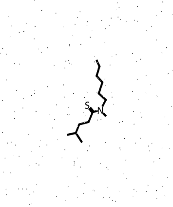 CCCCCCN(C)C(=S)CCC(C)C